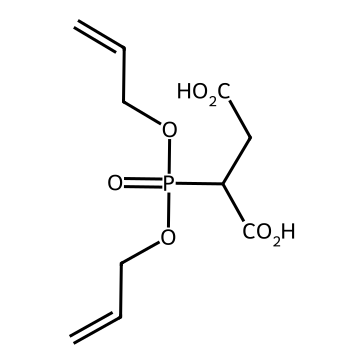 C=CCOP(=O)(OCC=C)C(CC(=O)O)C(=O)O